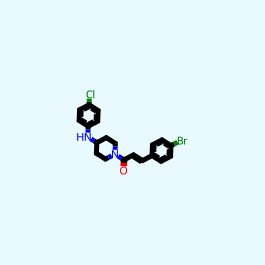 O=C(C=Cc1ccc(Br)cc1)N1CCC(Nc2ccc(Cl)cc2)CC1